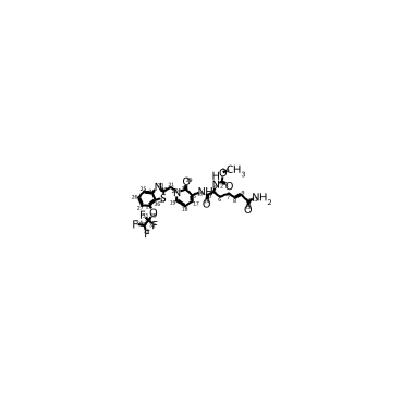 COC(=O)NC(CCC=CC(N)=O)C(=O)Nc1cccn(Cc2nc3cccc(OC(F)(F)C(F)F)c3s2)c1=O